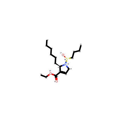 CCCCCC[C@@H]1C(C(=O)OCC)=CCN1[S@@+]([O-])CCCC